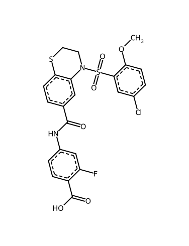 COc1ccc(Cl)cc1S(=O)(=O)N1CCSc2ccc(C(=O)Nc3ccc(C(=O)O)c(F)c3)cc21